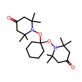 CC1(C)CC(=O)CC(C)(C)N1OC1(ON2C(C)(C)CC(=O)CC2(C)C)CCCCC1